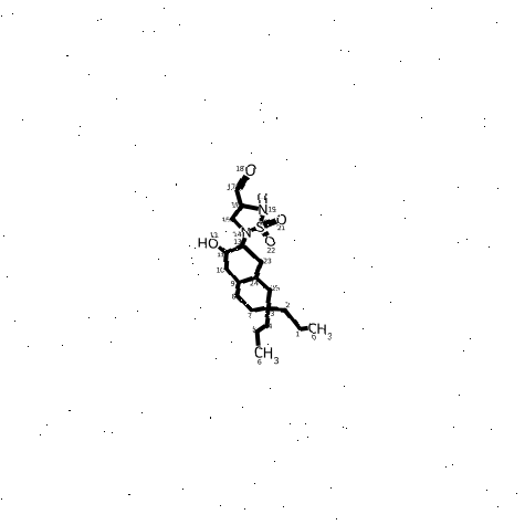 CCCC1(CCC)CCC2CC(O)C(N3CC(C=O)NS3(=O)=O)CC2C1